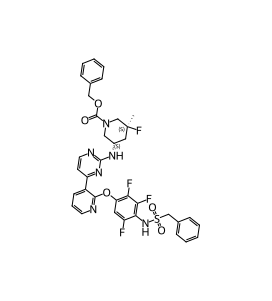 C[C@]1(F)C[C@H](Nc2nccc(-c3cccnc3Oc3cc(F)c(NS(=O)(=O)Cc4ccccc4)c(F)c3F)n2)CN(C(=O)OCc2ccccc2)C1